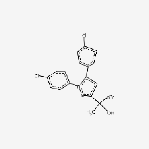 CCCC(C)(O)c1cc(-c2ccc(Cl)cc2)n(-c2ccc(Cl)cc2)n1